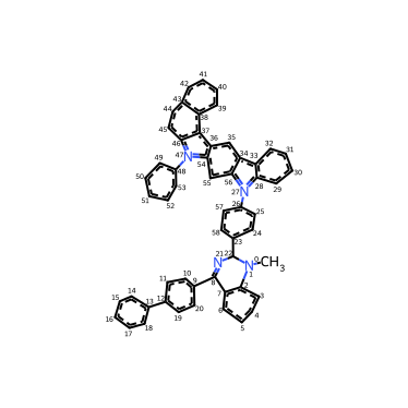 CN1c2ccccc2C(c2ccc(-c3ccccc3)cc2)=NC1c1ccc(-n2c3ccccc3c3cc4c5c6ccccc6ccc5n(-c5ccccc5)c4cc32)cc1